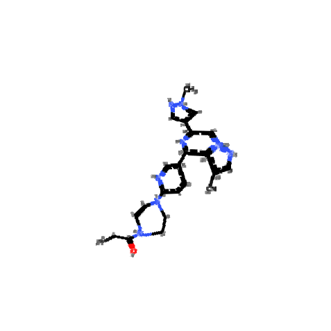 CC(C)CC(=O)N1CCN(c2ccc(-c3nc(-c4cnn(C)c4)cn4ncc(C#N)c34)cn2)CC1